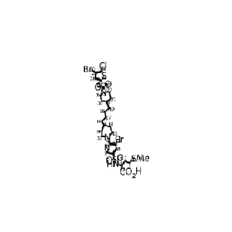 CSCCC(NS(=O)(=O)c1cnc(N2CCC(CCCCC3CCN(S(=O)(=O)c4cc(Br)c(Cl)s4)CC3)CC2)c(Br)c1)C(=O)O